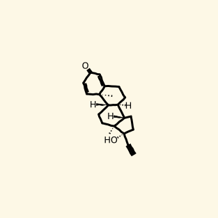 C#C[C@]1(O)CC[C@H]2[C@@H]3CCC4=CC(=O)C=C[C@]4(C)[C@H]3CC[C@@]21C